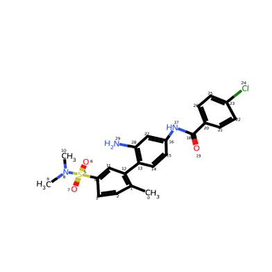 Cc1ccc(S(=O)(=O)N(C)C)cc1-c1ccc(NC(=O)c2ccc(Cl)cc2)cc1N